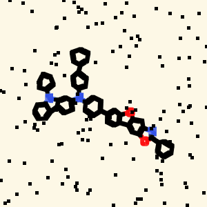 c1ccc(-c2ccc(N(c3ccc(-c4ccc5c(c4)oc4cc6nc(-c7ccccc7)oc6cc45)cc3)c3ccc4c5ccccc5n(-c5ccccc5)c4c3)cc2)cc1